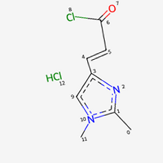 Cc1nc(C=CC(=O)Cl)cn1C.Cl